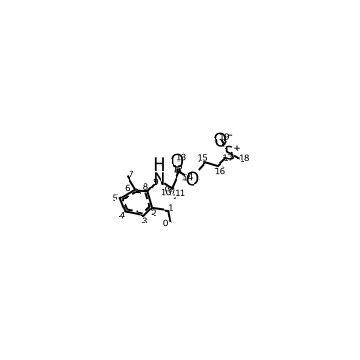 CCc1cccc(C)c1N[C@@H](C)C(=O)OCC[S+](C)[O-]